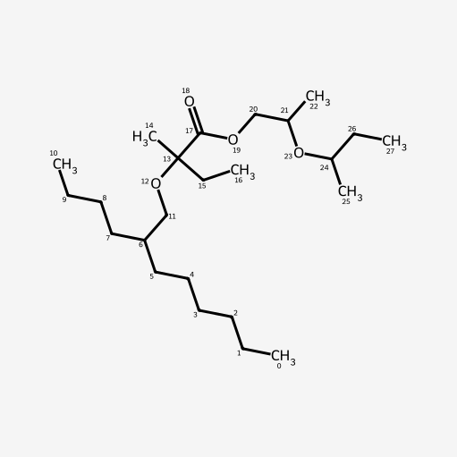 CCCCCCC(CCCC)COC(C)(CC)C(=O)OCC(C)OC(C)CC